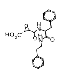 O=C(NCCc1ccccc1)C(Cc1ccccc1)NC(=O)[C@@H]1O[C@H]1C(=O)O